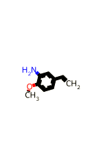 C=Cc1ccc(OC)c(N)c1